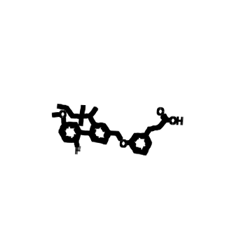 CCCC(C)(C)C(C)c1cc(COc2cccc(CCC(=O)O)c2)ccc1-c1cc(OC)ccc1F